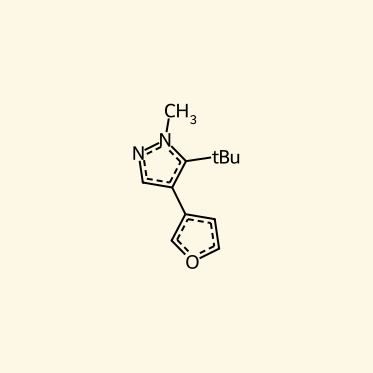 Cn1ncc(-c2ccoc2)c1C(C)(C)C